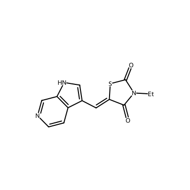 CCN1C(=O)S/C(=C\c2c[nH]c3cnccc23)C1=O